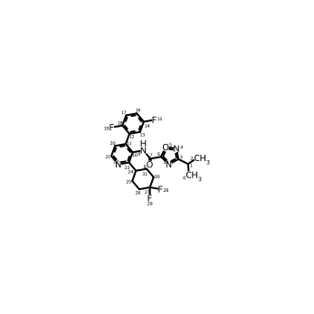 CC(C)c1noc(C(=O)Nc2c(-c3cc(F)ccc3F)ccnc2C2CCC(F)(F)CC2)n1